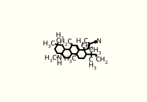 C=CC(C)(C)C1CCC2(C)C(=CC(=C)C3C4CC(C)(C)CCC4(NC)CCC32)C1(C)/C=C(\C)C#N